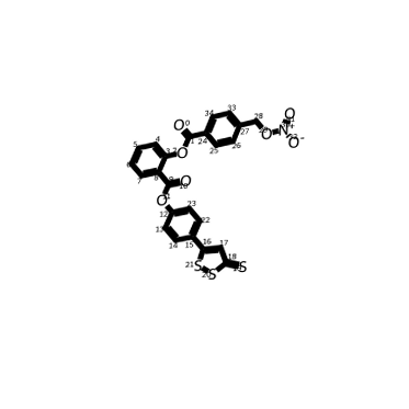 O=C(Oc1ccccc1C(=O)Oc1ccc(-c2cc(=S)ss2)cc1)c1ccc(CO[N+](=O)[O-])cc1